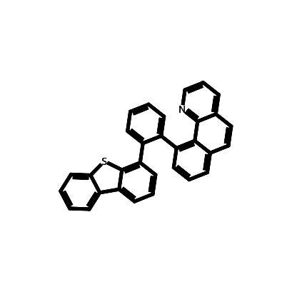 c1ccc(-c2cccc3ccc4cccnc4c23)c(-c2cccc3c2sc2ccccc23)c1